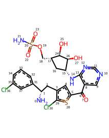 N[C@@H](Cc1cc(C(=O)c2cncnc2N[C@@H]2C[C@H](COS(N)(=O)=O)[C@@H](O)[C@H]2O)sc1Cl)c1cccc(Cl)c1